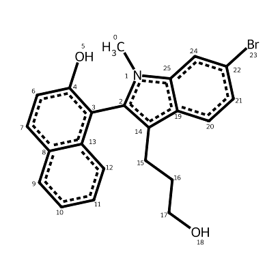 Cn1c(-c2c(O)ccc3ccccc23)c(CCCO)c2ccc(Br)cc21